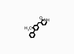 Cc1cc(Cc2ccc[nH]c2=O)ccc1-c1ccccc1